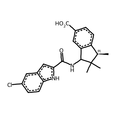 C[C@@H]1c2ccc(C(=O)O)cc2C(NC(=O)c2cc3cc(Cl)ccc3[nH]2)C1(C)C